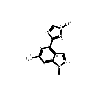 [2H]n1cnc(-c2cc(C(F)(F)F)cc3c2cnn3C)n1